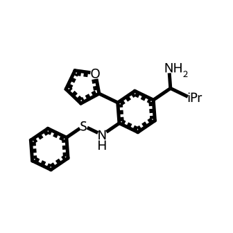 CC(C)C(N)c1ccc(NSc2ccccc2)c(-c2ccco2)c1